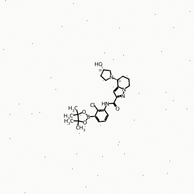 CC1(C)OB(c2cccc(NC(=O)c3cc4n(n3)CCC[C@@H]4N3CC[C@H](O)C3)c2Cl)OC1(C)C